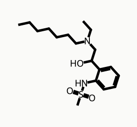 CCCCCCCN(CC)CC(O)c1ccccc1NS(C)(=O)=O